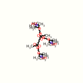 CCCCC(C=O)(CCCCCCC(CCCC)(C(=O)OCCCOC1CC(C)(C)N(O)C(C)(C)C1)C(=O)OCCCOC1CC(C)(C)N(O)C(C)(C)C1)C(=O)OCCCOC1CC(C)(C)N(O)C(C)(C)C1